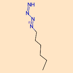 CCCCCC/N=N/N=N